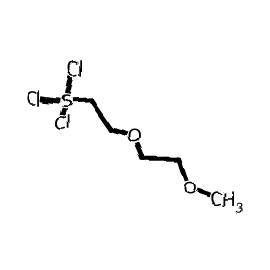 COCCOCCS(Cl)(Cl)Cl